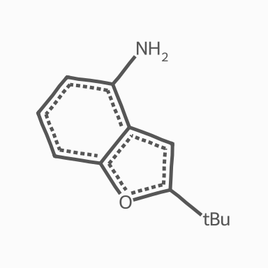 CC(C)(C)c1cc2c(N)cccc2o1